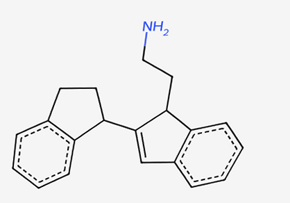 NCCC1C(C2CCc3ccccc32)=Cc2ccccc21